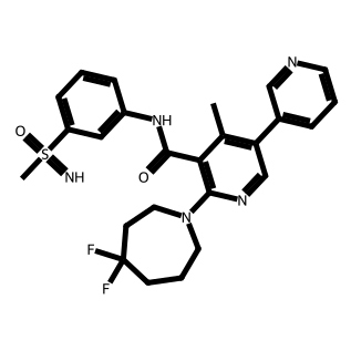 Cc1c(-c2cccnc2)cnc(N2CCCC(F)(F)CC2)c1C(=O)Nc1cccc(S(C)(=N)=O)c1